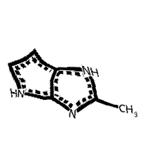 Cc1nc2[nH]ccc2[nH]1